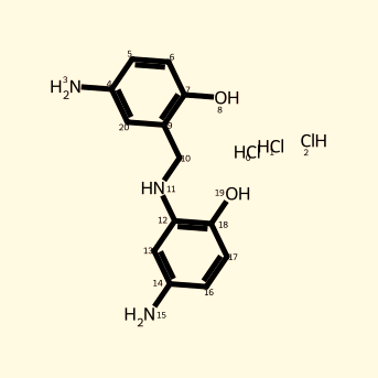 Cl.Cl.Cl.Nc1ccc(O)c(CNc2cc(N)ccc2O)c1